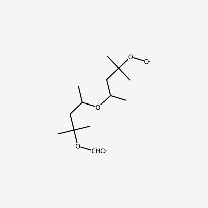 CC(CC(C)(C)O[O])OC(C)CC(C)(C)O[C]=O